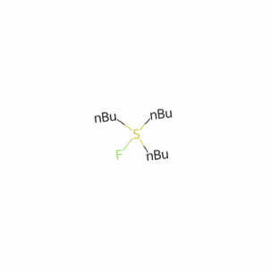 CCCCS(F)(CCCC)CCCC